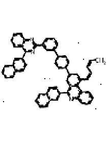 C/C=C\C=C/c1cc(-c2ccc(-c3cccc(-c4nc(-c5ccc6ccccc6c5)c5ccccc5n4)c3)cc2)cc2c(-c3ccc4ccccc4c3)nc3ccccc3c12